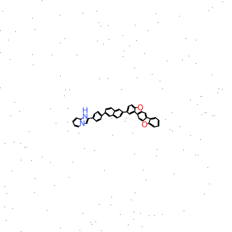 C1=CC2NC(c3ccc(-c4ccc5cc(-c6ccc7oc8cc9c(cc8c7c6)oc6ccccc69)ccc5c4)cc3)=CN2C=C1